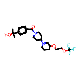 CC(C)(O)c1ccc(C(=O)N2CCC(N3CCCC(OCCOC(F)(F)F)C3)CC2)cc1